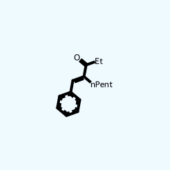 CCCCC/C(=C\c1ccccc1)C(=O)CC